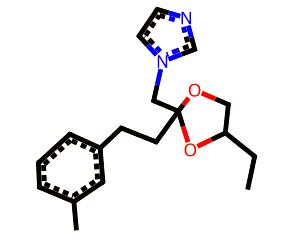 CCC1COC(CCc2cccc(C)c2)(Cn2ccnc2)O1